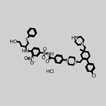 CC1(CN2CCNCC2)CCC(c2ccc(Cl)cc2)=C(CN2CCN(c3ccc(C(=O)NS(=O)(=O)c4ccc(NC(CCO)CSc5ccccc5)c([N+](=O)[O-])c4)cc3)CC2)C1.Cl